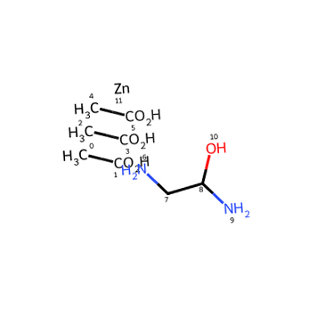 CC(=O)O.CC(=O)O.CC(=O)O.NCC(N)O.[Zn]